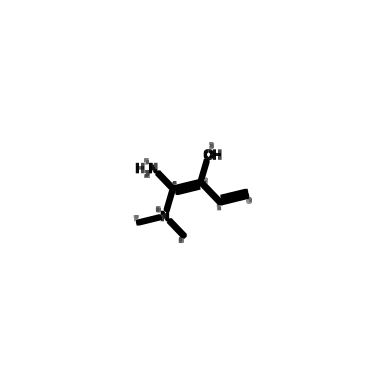 C=C/C(O)=C(/N)N(C)C